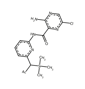 CC(=O)C(c1cccc(NC(=O)c2nc(Cl)cnc2N)n1)[Si](C)(C)C